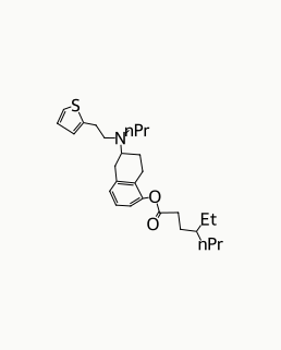 CCCC(CC)CCC(=O)Oc1cccc2c1CCC(N(CCC)CCc1cccs1)C2